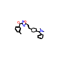 Cc1cccc(C(=O)c2noc(C=CC3CCC(C(c4ccccc4)N(C)C)CC3)n2)c1